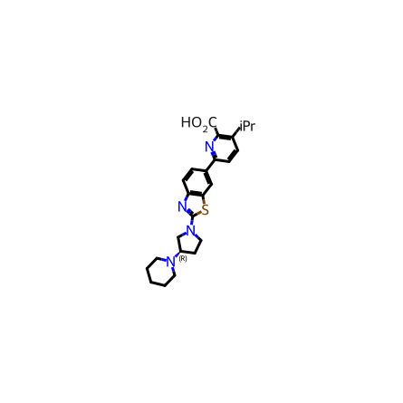 CC(C)c1ccc(-c2ccc3nc(N4CC[C@@H](N5CCCCC5)C4)sc3c2)nc1C(=O)O